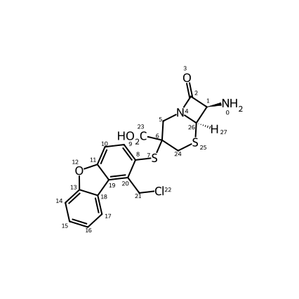 N[C@@H]1C(=O)N2CC(Sc3ccc4oc5ccccc5c4c3CCl)(C(=O)O)CS[C@H]12